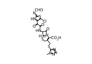 Cn1nnnc1SCC1=C(C(=O)O)N2C(=O)C(NC(=O)C(=O)c3[nH]c(=NC=O)sc3Cl)[C@@H]2SC1